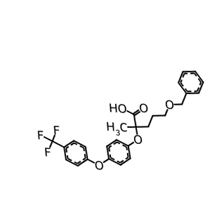 CC(CCCOCc1ccccc1)(Oc1ccc(Oc2ccc(C(F)(F)F)cc2)cc1)C(=O)O